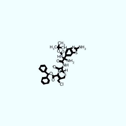 CC(C)(C)OC(=O)NC(N)(C(=O)NC1C(=O)N2C(C(=O)OC(c3ccccc3)c3ccccc3)=C(CCl)CS[C@@H]12)c1ccc2nc(N)sc2c1